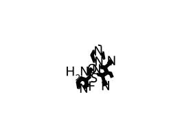 CCc1c(C#N)c(SC(C(N)=O)c2cccnc2F)nc(N2CCCN(C)CC2)c1C#N